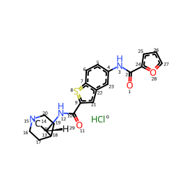 Cl.O=C(Nc1ccc2sc(C(=O)N[C@H]3CN4CCC3CC4)cc2c1)c1ccco1